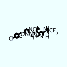 C[C@H]1CN(c2cccc(OCc3ccc(Cl)cc3F)n2)CCN1Cc1ncc(-c2nnc(C(F)(F)F)[nH]2)cc1CC1(C#N)CC1